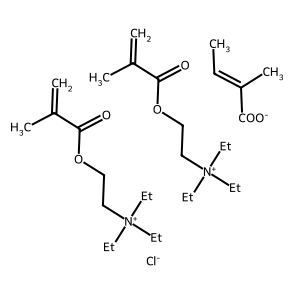 C=C(C)C(=O)OCC[N+](CC)(CC)CC.C=C(C)C(=O)OCC[N+](CC)(CC)CC.CC=C(C)C(=O)[O-].[Cl-]